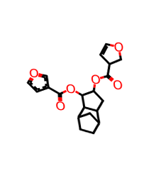 O=C(OC1C(OC(=O)C2C=COC2)CC2C3CCC(C3)C21)c1ccoc1